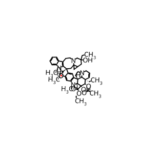 CCOC(=O)C1(O)[C@H](OC(C)=O)[C@]2(CC)C=CCN3CC[C@@]4(c5cc([C@@]6(C(=O)OC)CC78CC7CC(O)(CC)CN8CCc7c6[nH]c6ccccc76)c(OC)cc5N(C)[C@@H]14)[C@@H]32